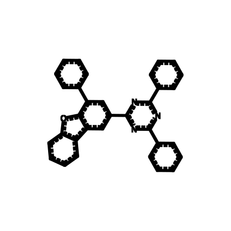 c1ccc(-c2nc(-c3ccccc3)nc(-c3cc(-c4ccccc4)c4oc5ccccc5c4c3)n2)cc1